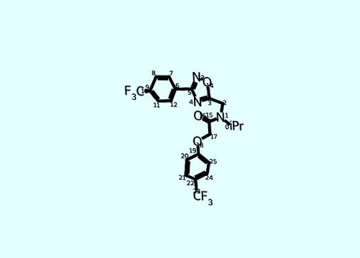 CC(C)N(Cc1nc(-c2ccc(C(F)(F)F)cc2)no1)C(=O)COc1ccc(C(F)(F)F)cc1